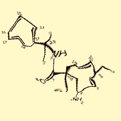 CC1=CC(N)C(C)(C(=O)NC(C)(C)c2ccccc2)C=C1